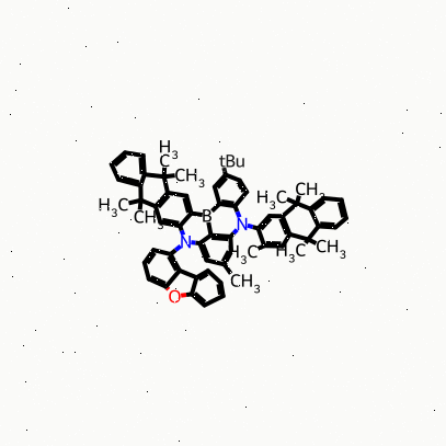 Cc1cc2c3c(c1)N(c1cccc4oc5ccccc5c14)c1cc4c(cc1B3c1cc(C(C)(C)C)ccc1N2c1cc2c(cc1C)C(C)(C)c1ccccc1C2(C)C)C(C)(C)c1ccccc1C4(C)C